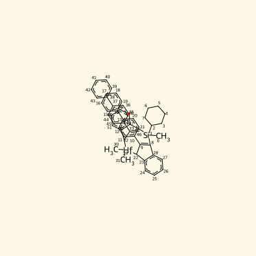 C[Si]1(C2CCCCC2)C2=C(c3ccc(-c4ccccc4)cc3)[CH](c3ccccc32)[Hf]([CH3])([CH3])[CH]2C(c3ccc(-c4ccccc4)cc3)=C1c1ccccc12